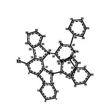 CCc1cc2c3ccccc3n(-c3ccccc3)c2c2c1c1ccccc1n2-c1nc(-c2ccccc2)nc(-c2ccccc2)n1